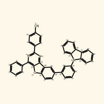 N#Cc1ccc(-c2nc(-c3ccccc3)c3oc4ccc(-c5cccc(-n6c7ccccc7c7ccccc76)c5)cc4c3n2)cc1